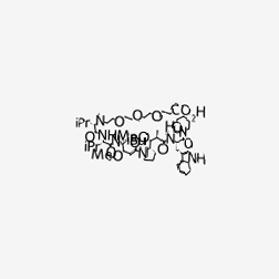 CC[C@H](C)[C@@H]([C@@H](CC(=O)N1CCC[C@H]1[C@H](OC)[C@@H](C)C(=O)N[C@@H](Cc1c[nH]c2ccccc12)C(=O)N1CCCCO1)OC)N(C)C(=O)[C@@H](NC(=O)[C@H](C(C)C)N(C)CCOCCOCCOCCC(=O)O)C(C)C